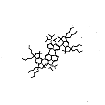 CCCCC1(CCCC)CC(C)(C)c2c1cc1c(c2-c2cc3c([Si](C(C)C)(C(C)C)C(C)C)ccc4c5cc(-c6c7c(cc8c6C(C)(C)CC8(CCCC)CCCC)C(CCCC)(CCCC)CC7(C)C)c6c7c(ccc(c(c2)c34)c75)[Si](C(C)C)(C(C)C)C6C)C(C)(C)CC1(CCCC)CCCC